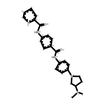 CN(C)C1CCN(c2ccc(NC(=O)c3ccc(NC(=O)c4ccccn4)cc3)cc2)C1